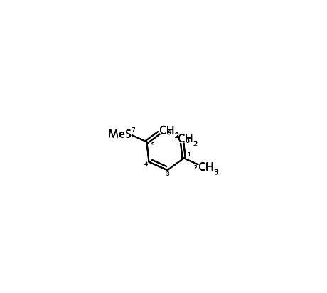 C=C(C)/C=C\C(=C)SC